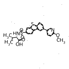 COc1ccc(-c2ccc3sc4cc(S(=O)(=O)N[C@H](C(=O)O)C(C)C)ccc4c3c2)cn1